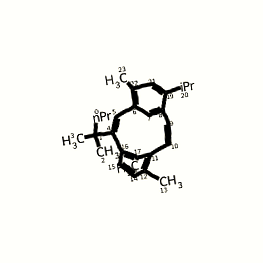 CCCC(C)(C)c1cc2cc(ccc3c(C)ccc1c3C)c(C(C)C)cc2C